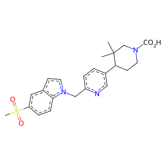 CC1(C)CN(C(=O)O)CCC1c1ccc(Cn2ccc3cc(S(C)(=O)=O)ccc32)nc1